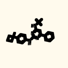 CC(C)(C)Nc1cc(-c2ccccc2)nc(Nc2ccc(C3(C)CCC3)cc2)n1